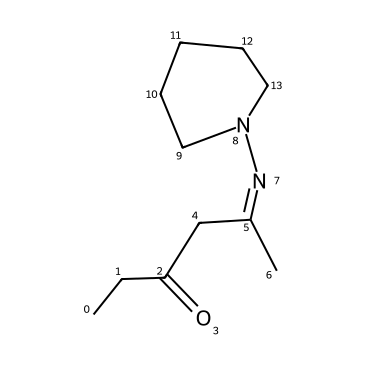 CCC(=O)CC(C)=NN1CCCCC1